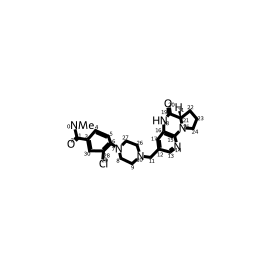 CNC(=O)c1ccc(N2CCN(Cc3cnc4c(c3)NC(=O)[C@@H]3CCCN43)CC2)c(Cl)c1